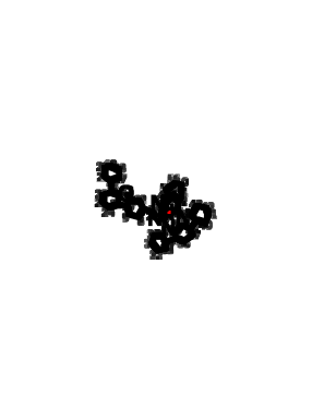 c1ccc(-c2nc(-c3ccc4c(c3)oc3c(-c5ccccc5)cccc34)nc(-n3c4ccccc4c4ccc5c6ccccc6n(-c6ccccc6)c5c43)n2)cc1